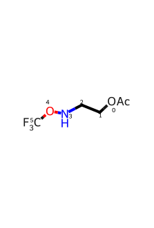 CC(=O)OCCNOC(F)(F)F